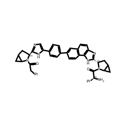 CC(C)CC(=O)N1C2CC2C[C@H]1c1ncc(-c2ccc(-c3ccc4c(ccc5nc([C@@H]6CC7CC7N6C(=O)[C@@H](N)C(C)C)[nH]c54)c3)cc2)[nH]1